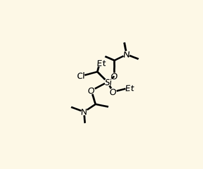 CCO[Si](OC(C)N(C)C)(OC(C)N(C)C)C(Cl)CC